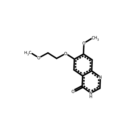 COCCOc1cc2c(=O)[nH]cnc2cc1OC